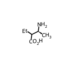 CCC(C(=O)O)[C@H](C)N